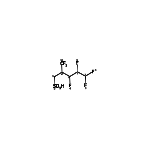 O=S(=O)(O)CC(C(F)C(F)C(F)F)C(F)(F)F